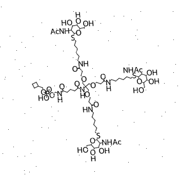 CC(=O)NC1C(SCCCCCCNC(=O)CCOCC(COCCC(=O)NCCCCCCSC2OC(CO)C(O)C(O)C2NC(C)=O)(COCCC(=O)NCCCCCCSC2OC(CO)C(O)C(O)C2NC(C)=O)NC(=O)CCCC(=O)NCOP(=O)(O)OCC2CCC2)OC(CO)C(O)C1O